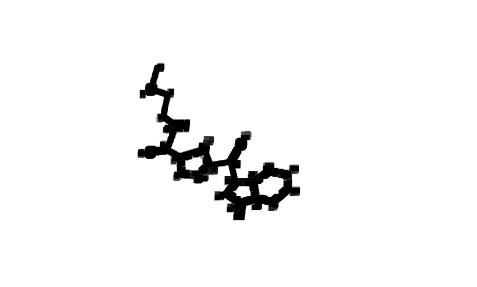 COCCNC(=O)c1csc(C(=O)c2c[nH]c3ccccc23)n1